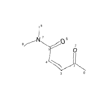 CC(=O)/C=C\C(=O)N(C)C